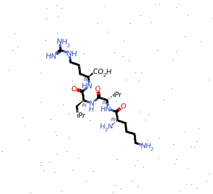 CC(C)C[C@H](NC(=O)[C@@H](NC(=O)[C@@H](N)CCCCN)C(C)C)C(=O)N[C@@H](CCCNC(=N)N)C(=O)O